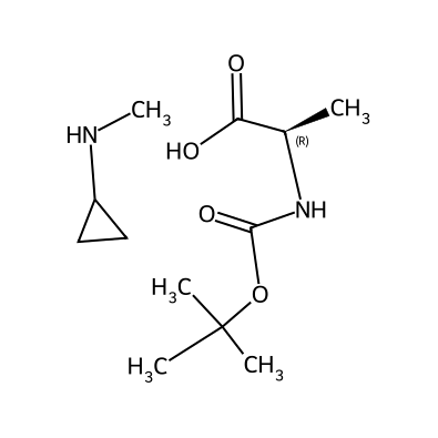 CNC1CC1.C[C@@H](NC(=O)OC(C)(C)C)C(=O)O